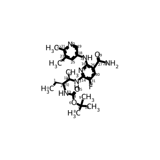 CC[C@H](NC(=O)OC(C)(C)C)[C@@H](C)Nc1nc(Nc2cnc(C)c(C)c2)c(C(N)=O)cc1F